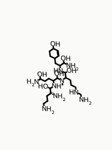 CN(C(O)C(CCC(N)O)NC(O)[C@H](N)CCCN)C(CCCNCN)C(O)NC(CC1C=CC(O)CC1)C(N)O